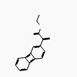 C=C(C(=O)OCC)c1ccc2c(c1)=c1ccccc1=2